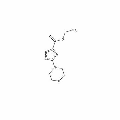 CCOC(=O)c1csc(N2CCOCC2)n1